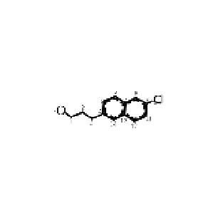 [O]CCCc1ccc2cc(Cl)ccc2c1